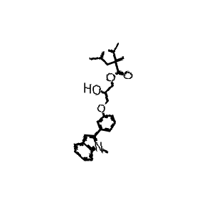 CC(C)CC(C)(C(=O)OCC(O)COc1cccc(-c2cc3ccccc3n2C)c1)C(C)C